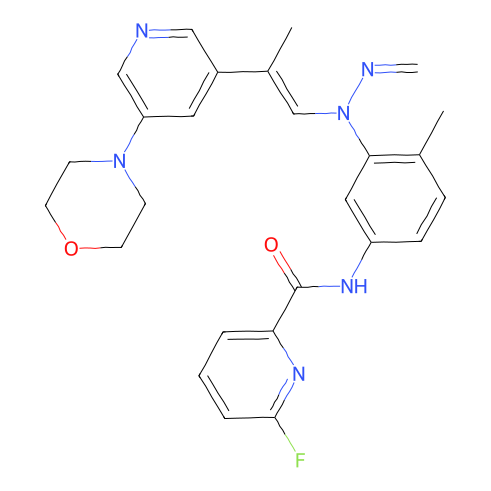 C=NN(/C=C(\C)c1cncc(N2CCOCC2)c1)c1cc(NC(=O)c2cccc(F)n2)ccc1C